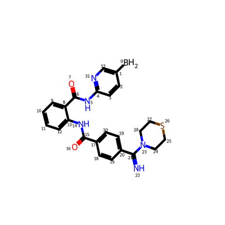 Bc1ccc(NC(=O)c2ccccc2NC(=O)c2ccc(C(=N)N3CCSCC3)cc2)nc1